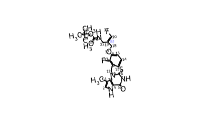 Cc1c[nH]c2c(=O)[nH]c(=S)n(Cc3cccc(OC/C(=C/F)CNC(=O)OC(C)(C)C)c3F)c12